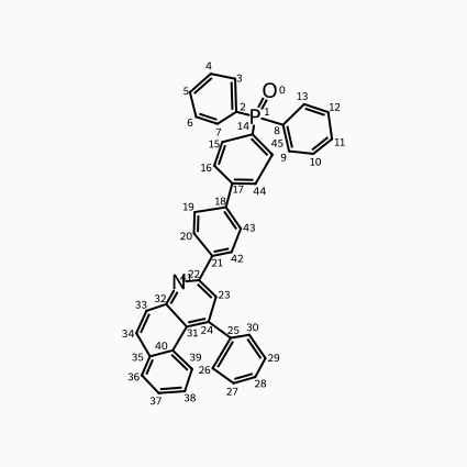 O=P(c1ccccc1)(c1ccccc1)c1ccc(-c2ccc(-c3cc(-c4ccccc4)c4c(ccc5ccccc54)n3)cc2)cc1